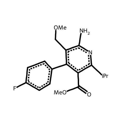 COCc1c(N)nc(C(C)C)c(C(=O)OC)c1-c1ccc(F)cc1